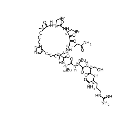 CCCC[C@H](NC(=O)[C@@H](NC(=O)[C@]1(C)CCCc2cnnn2CCCC(C)(C)C(=O)N[C@@H](CC(C)C)C(=O)N[C@@H](CC(C)C)C(=O)C(=O)[C@H](CCC(N)=O)NN1)[C@@H](C)CC)C(=O)N[C@@H](CO)C(=O)N[C@@H](CCCNC(=N)N)C(N)=O